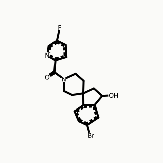 O=C(c1ccc(F)cn1)N1CCC2(CC1)CC(O)c1cc(Br)ccc12